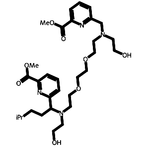 COC(=O)c1cccc(CN(CCO)CCOCCOCCN(CCO)C(CCC(C)C)c2cccc(C(=O)OC)n2)n1